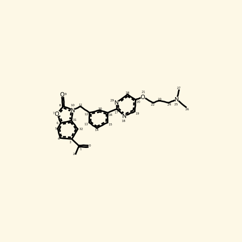 C=C(C)c1ccc2oc(=O)n(Cc3cccc(-c4ncc(OCCCN(C)C)cn4)c3)c2c1